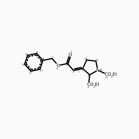 CCOC(=O)C1/C(=C/C(=O)OCc2ccccc2)CCN1C(=O)OCC